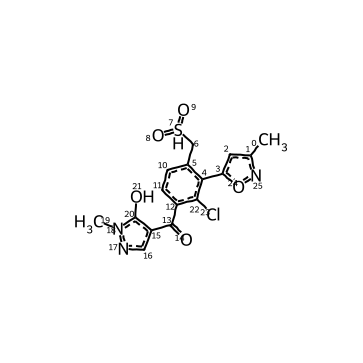 Cc1cc(-c2c(C[SH](=O)=O)ccc(C(=O)c3cnn(C)c3O)c2Cl)on1